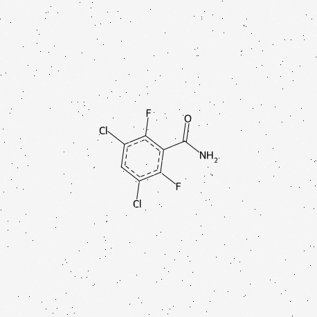 NC(=O)c1c(F)c(Cl)cc(Cl)c1F